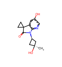 C[C@]1(O)C[C@@H](N2C(=O)C3(CC3)c3cc(O)cnc32)C1